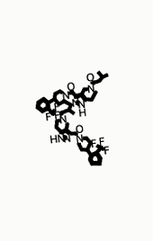 CC(C)CC(=O)N1CCc2[nH]nc(C(=O)N3CCC(c4ccccc4C(F)(F)F)CC3CC(C)CN3CCc4[nH]nc(C(=O)N5CCC(c6ccccc6C(F)(F)F)CC5)c4C3)c2C1